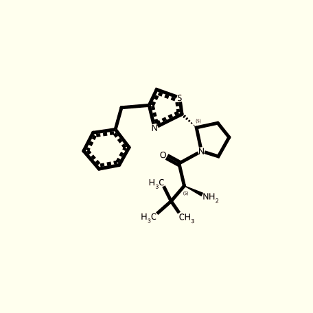 CC(C)(C)[C@H](N)C(=O)N1CCC[C@H]1c1nc(Cc2ccccc2)cs1